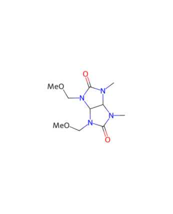 COCN1C(=O)N(C)C2C1N(COC)C(=O)N2C